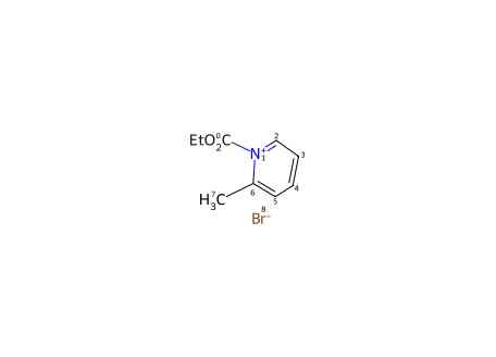 CCOC(=O)[n+]1ccccc1C.[Br-]